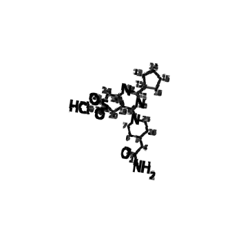 Cl.NC(=O)CC1CCN(c2nc(C3CCCC3)nc3c2CS(=O)(=O)C3)CC1